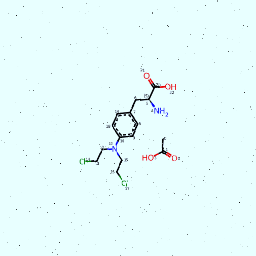 CC(=O)O.N[C@@H](Cc1ccc(N(CCCl)CCCl)cc1)C(=O)O